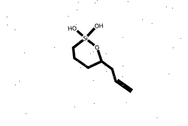 C=CCC1CCC[Si](O)(O)O1